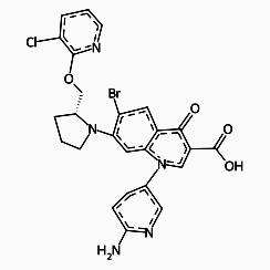 Nc1ccc(-n2cc(C(=O)O)c(=O)c3cc(Br)c(N4CCC[C@@H]4COc4ncccc4Cl)cc32)cn1